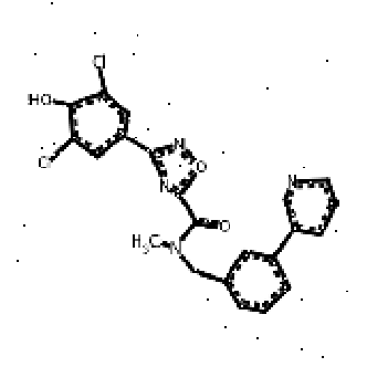 CN(Cc1cccc(-c2cccnc2)c1)C(=O)c1nc(-c2cc(Cl)c(O)c(Cl)c2)no1